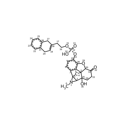 CN1C2C13CC14c5c3ccc(OP(=O)(O)OCCC3=CCc6ccccc6C3)c5OC1C(=O)CCC24O